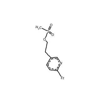 CCc1ccc(CCOS(C)(=O)=O)cn1